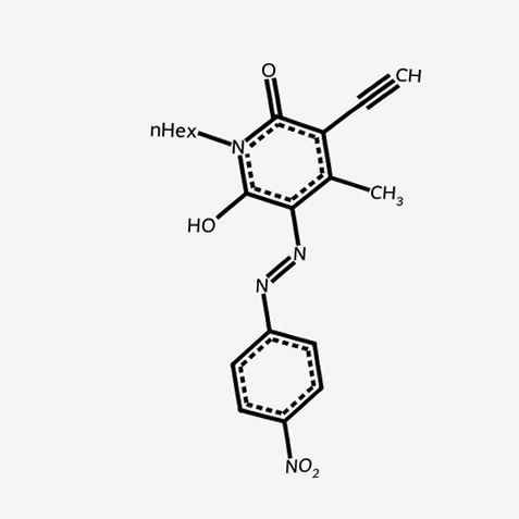 C#Cc1c(C)c(/N=N/c2ccc([N+](=O)[O-])cc2)c(O)n(CCCCCC)c1=O